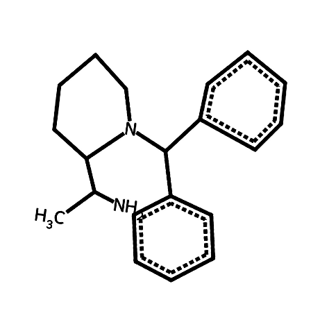 CC(N)C1CCCCN1C(c1ccccc1)c1ccccc1